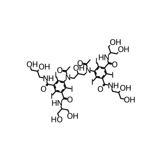 CC(=O)N(CC(O)CN(C(C)=O)c1c(I)c(C(=O)NCC(O)CO)c(I)c(C(=O)NC(CO)CO)c1I)c1c(I)c(C(=O)NCC(O)CO)c(I)c(C(=O)NC(CO)CO)c1I